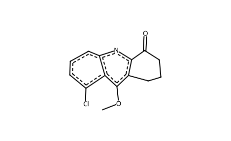 COc1c2c(nc3cccc(Cl)c13)C(=O)CCC2